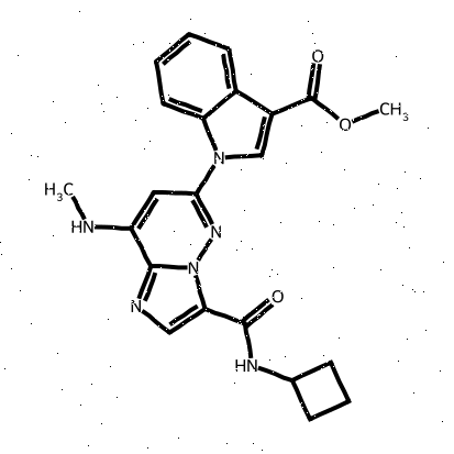 CNc1cc(-n2cc(C(=O)OC)c3ccccc32)nn2c(C(=O)NC3CCC3)cnc12